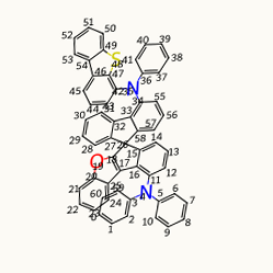 c1ccc(N(c2ccccc2)c2cccc3c2-c2c(oc4ccccc24)C32c3ccccc3-c3c(N(c4ccccc4)c4cccc5c4sc4ccccc45)cccc32)cc1